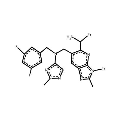 CCC(N)c1nc2c(cc1CN(Cc1cc(F)cc(F)c1)c1nnn(C)n1)nc(C)n2CC